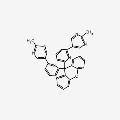 Cc1ncc(-c2cccc(C3(c4cccc(-c5cnc(C)nc5)n4)c4ccccc4Oc4ccccc43)n2)cn1